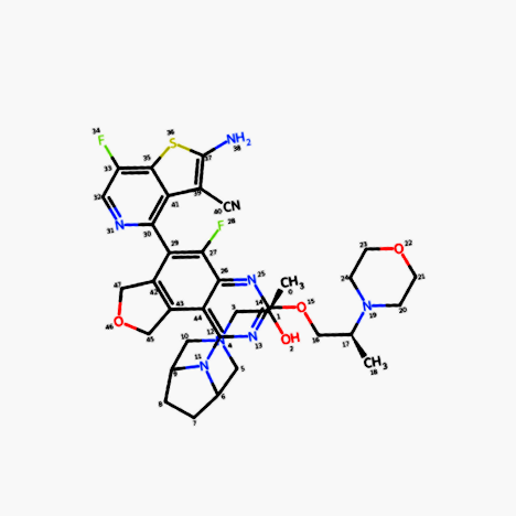 C[C@@H](O)CN1CC2CCC(C1)N2c1nc(OC[C@H](C)N2CCOCC2)nc2c(F)c(-c3ncc(F)c4sc(N)c(C#N)c34)c3c(c12)COC3